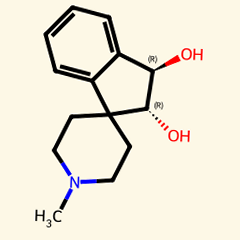 CN1CCC2(CC1)c1ccccc1[C@@H](O)[C@@H]2O